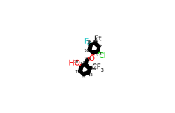 CCc1cc(Cl)c(OCc2c(O)cccc2C(F)(F)F)cc1F